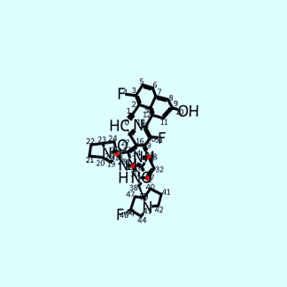 C#Cc1c(F)ccc2cc(O)cc(-c3ncc4c(N5CC6CCC(C5)N6C(=O)Nc5ncccn5)nc(OC[C@@]56CCCN5C[C@H](F)C6)nc4c3F)c12